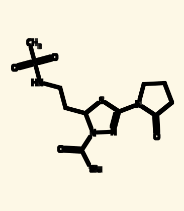 CC(C)(C)C(=O)N1N=C(N2CCCC2=O)SC1CCNS(C)(=O)=O